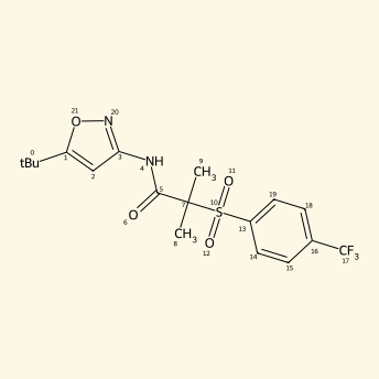 CC(C)(C)c1cc(NC(=O)C(C)(C)S(=O)(=O)c2ccc(C(F)(F)F)cc2)no1